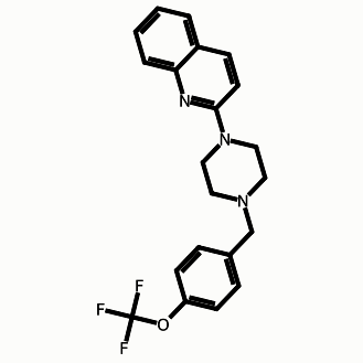 FC(F)(F)Oc1ccc(CN2CCN(c3ccc4ccccc4n3)CC2)cc1